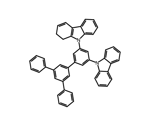 C1=Cc2c(n(-c3cc(-c4cc(-c5ccccc5)cc(-c5ccccc5)c4)cc(-n4c5ccccc5c5ccccc54)c3)c3ccccc23)CC1